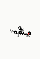 CCCC(CCC(=Cc1cccc(Nc2ccc(C(F)(F)F)cn2)c1)CNC(=O)c1cncnc1)C12CCC(CC1)CC2